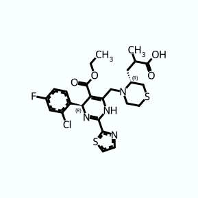 CCOC(=O)C1=C(CN2CCSC[C@H]2CC(C)C(=O)O)NC(c2nccs2)=N[C@H]1c1ccc(F)cc1Cl